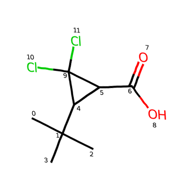 CC(C)(C)C1C(C(=O)O)C1(Cl)Cl